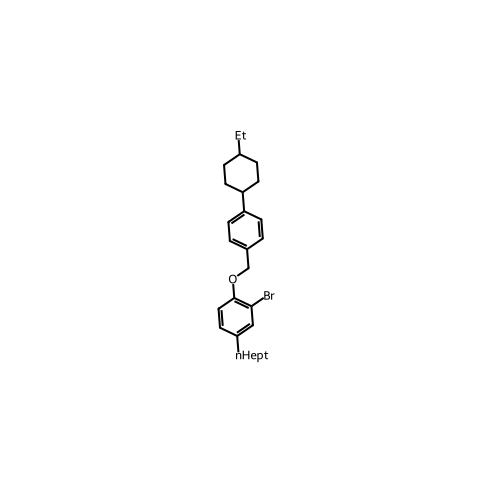 CCCCCCCc1ccc(OCc2ccc(C3CCC(CC)CC3)cc2)c(Br)c1